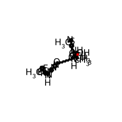 COc1cccc(F)c1-c1ncc2[nH]nc(-c3ccc(N4CCN(C(=O)CCCCCCCCCC(=O)N[C@H](C(=O)N5C[C@H](O)C[C@H]5C(=O)NCc5ccc(-c6scnc6C)cc5)C(C)(C)C)CC4)cc3)c2n1